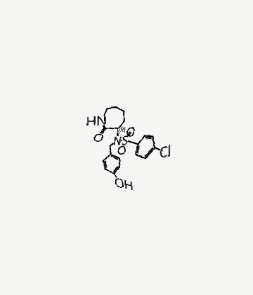 O=C1NCCCC[C@H]1N(Cc1ccc(O)cc1)S(=O)(=O)c1ccc(Cl)cc1